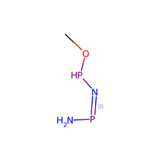 COP/N=P\N